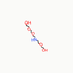 OCCOCCNCCOCCOCCO